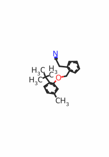 Cc1ccc(C(C)(C)C)c(OCc2ccccc2CC#N)c1